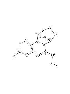 CCOC(=O)C1C(c2ccc(C)cc2)CC2CCC1N2C